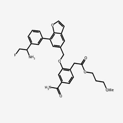 COCCCOC(=O)Cc1ccc(C(N)=O)cc1OCc1cc(-c2cccc(C(N)CF)c2)c2occc2c1